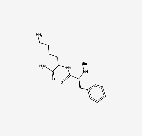 CC(C)(C)N[C@@H](Cc1ccccc1)C(=O)N[C@@H](CCCCN)C(N)=O